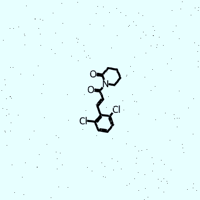 O=C(/C=C/c1c(Cl)cccc1Cl)N1CCCCC1=O